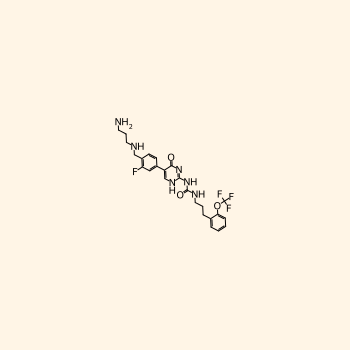 NCCCNCc1ccc(-c2c[nH]c(NC(=O)NCCCc3ccccc3OC(F)(F)F)nc2=O)cc1F